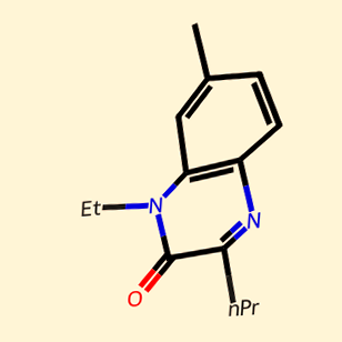 CCCc1nc2ccc(C)cc2n(CC)c1=O